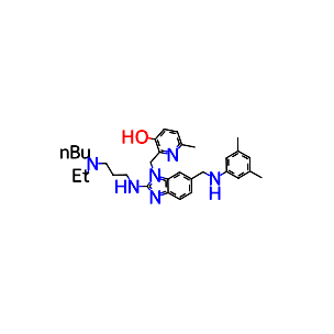 CCCCN(CC)CCCNc1nc2ccc(CNc3cc(C)cc(C)c3)cc2n1Cc1nc(C)ccc1O